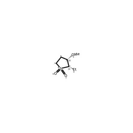 CC[C@H]1[C@@H](OC)CCS1(=O)=O